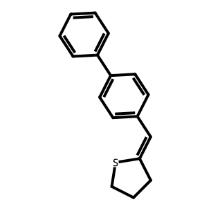 C(=C1CCCS1)c1ccc(-c2ccccc2)cc1